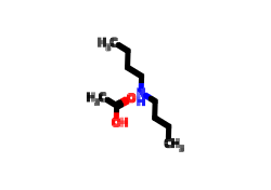 CC(=O)O.CCCCNCCCC